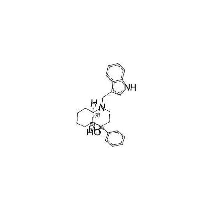 O[C@]1(c2ccccc2)CCN(Cc2c[nH]c3ccccc23)[C@@H]2CCCC[C@@H]21